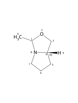 CC1OC[C@@H]2CCCN12